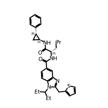 CCC(CC)n1c(Cc2cccs2)nc2cc(C(=O)N[C@@H](CC(C)C)C(=O)N[C@H]3C[C@@H]3c3ccccc3)ccc21